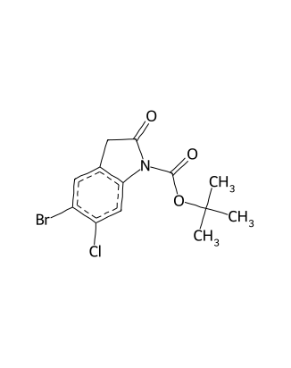 CC(C)(C)OC(=O)N1C(=O)Cc2cc(Br)c(Cl)cc21